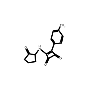 Cc1ccc(-c2c(NC3CCCC3=O)c(=O)c2=O)cc1